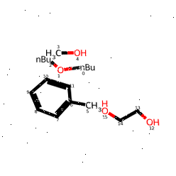 CCCCOCCCC.CO.Cc1ccccc1.OCCO